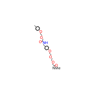 CNC(=O)COCCOCCOc1ccc(CNC(=O)COCCOc2ccc(C)cc2)cc1